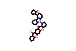 O=c1c2ccccc2oc2cc3oc4cccc(-n5c6ccccc6c6c7c(ccc65)oc5ccccc57)c4c(=O)c3cc12